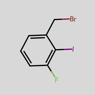 Fc1cccc(CBr)c1I